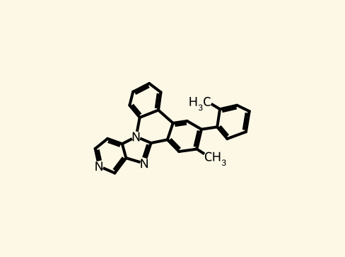 Cc1ccccc1-c1cc2c3ccccc3n3c4ccncc4nc3c2cc1C